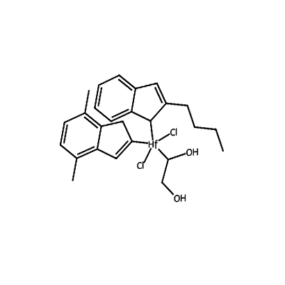 CCCCC1=Cc2ccccc2[CH]1[Hf]([Cl])([Cl])([C]1=Cc2c(C)ccc(C)c2C1)[CH](O)CO